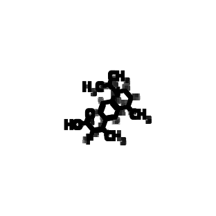 C/C(=C(\F)C(=O)O)c1ccc2c(c1)C(C)CCN2C(C)C